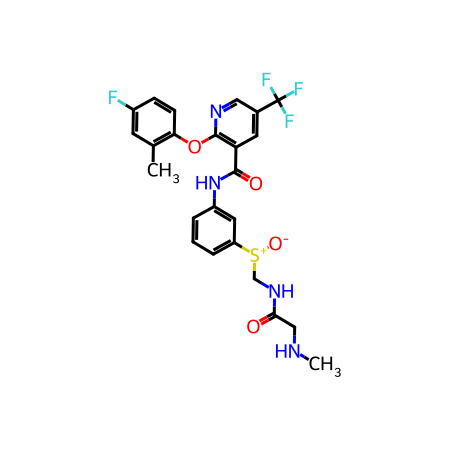 CNCC(=O)NC[S+]([O-])c1cccc(NC(=O)c2cc(C(F)(F)F)cnc2Oc2ccc(F)cc2C)c1